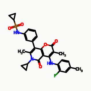 Cc1ccc(Nc2c(C)c(=O)oc3c(-c4cccc(NS(=O)(=O)C5CC5)c4)c(C)n(C4CC4)c(=O)c23)c(F)c1